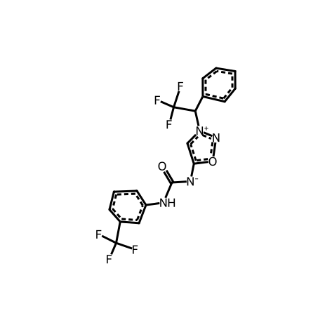 O=C([N-]c1c[n+](C(c2ccccc2)C(F)(F)F)no1)Nc1cccc(C(F)(F)F)c1